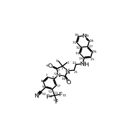 CC1(C)C(=O)N(c2ccc(C#N)c(C(F)(F)F)c2)C(=O)N1CCNc1ccc2cnccc2c1